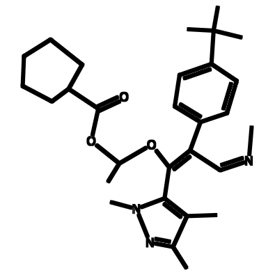 C/N=C\C(=C(\OC(C)OC(=O)C1CCCCC1)c1c(C)c(C)nn1C)c1ccc(C(C)(C)C)cc1